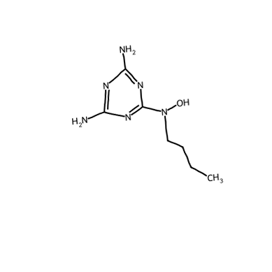 CCCCN(O)c1nc(N)nc(N)n1